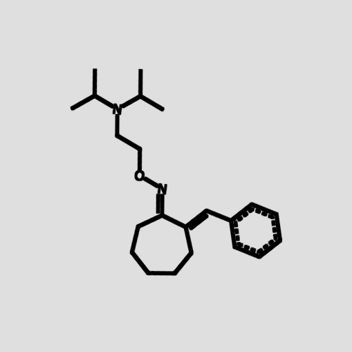 CC(C)N(CCON=C1CCCCCC1=Cc1ccccc1)C(C)C